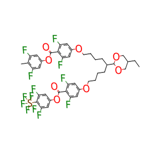 CCC1COC(C(CCCCOc2cc(F)c(C(=O)Oc3cc(F)c(C)c(F)c3)c(F)c2)CCCCOc2cc(F)c(C(=O)Oc3cc(F)c(S(F)(F)(F)(F)F)c(F)c3)c(F)c2)OC1